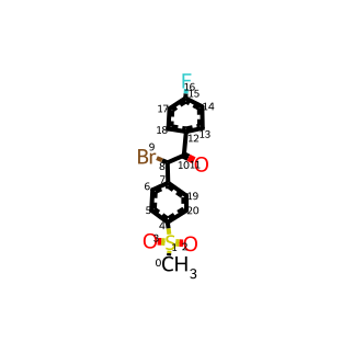 CS(=O)(=O)c1ccc(C(Br)C(=O)c2ccc(F)cc2)cc1